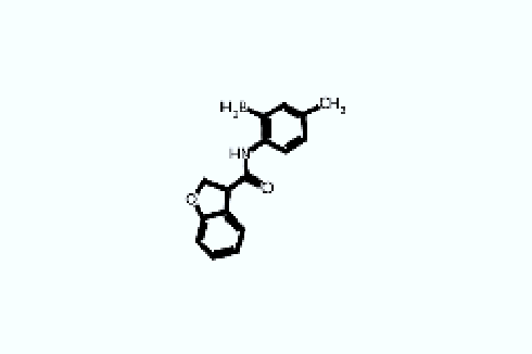 Bc1cc(C)ccc1NC(=O)C1COc2ccccc21